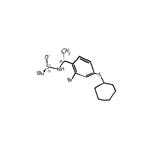 C[C@@H](N[S@+]([O-])C(C)(C)C)c1ccc(SC2CCCCC2)cc1Br